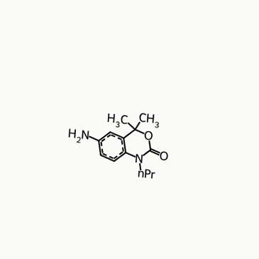 CCCN1C(=O)OC(C)(C)c2cc(N)ccc21